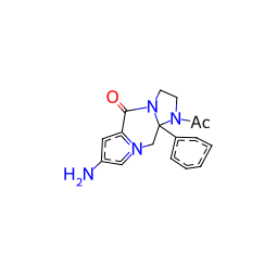 CC(=O)N1CCN2C(=O)c3cc(N)cn3CC12c1ccccc1